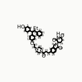 CCC(=C(c1ccc(O)cc1)c1ccc(OCCN2CCN(C(=O)CCc3ccc4c(c3)CN(C3CCC(=O)NC3=O)C4=O)CC2)cc1)c1ccccc1